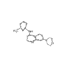 Cc1cccc(Nc2ncnc3cc(N4CCOCC4)ccc23)c1